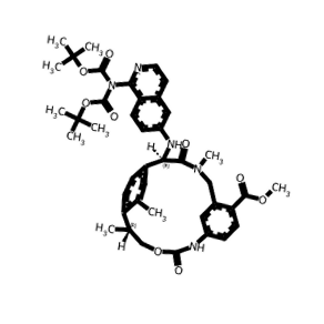 COC(=O)c1ccc2cc1CN(C)C(=O)[C@H](Nc1ccc3c(N(C(=O)OC(C)(C)C)C(=O)OC(C)(C)C)nccc3c1)c1ccc(c(C)c1)[C@@H](C)COC(=O)N2